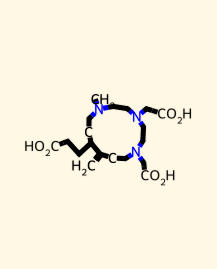 C=C1CCN(CC(=O)O)CCN(CC(=O)O)CCN(C)CCC1CCC(=O)O